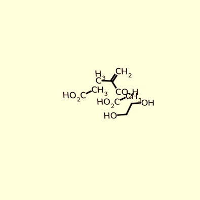 C=C(C)C(=O)O.CC(=O)O.CC(=O)O.OCCO